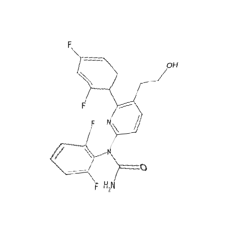 NC(=O)N(c1ccc(CCO)c(C2CC=C(F)C=C2F)n1)c1c(F)cccc1F